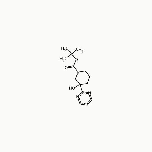 CC(C)(C)OC(=O)N1CCCC(O)(c2ncccn2)C1